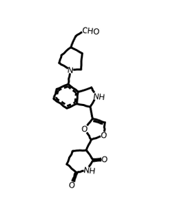 O=CCC1CCN(c2cccc3c2CNC3C2=COC(C3CCC(=O)NC3=O)O2)CC1